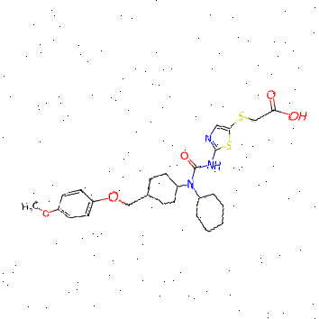 COc1ccc(OCC2CCC(N(C(=O)Nc3ncc(SCC(=O)O)s3)C3CCCCC3)CC2)cc1